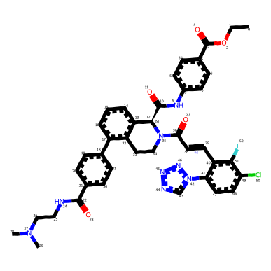 CCOC(=O)c1ccc(NC(=O)[C@@H]2c3cccc(-c4ccc(C(=O)NCCN(C)C)cc4)c3CCN2C(=O)/C=C/c2c(-n3cnnn3)ccc(Cl)c2F)cc1